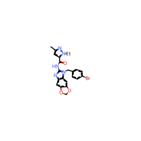 CCn1nc(C)cc1C(=O)Nc1nc2cc3c(cc2n1Cc1ccc(Br)cc1)OCO3